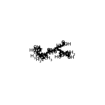 CC(C)[C@H](NC(=O)CNC(=O)CNC(=O)CN(CCNCC(=O)O)CCN(CCN(CN)CC(=O)O)CC(=O)O)C(=O)N[C@H](C)C(=O)N1CCC[C@H]1B(O)O